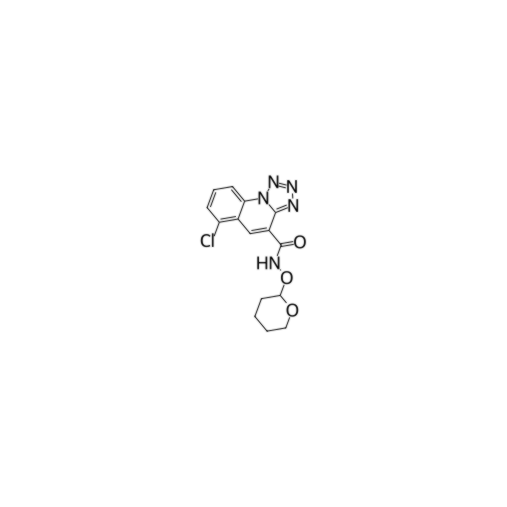 O=C(NOC1CCCCO1)c1cc2c(Cl)cccc2n2nnnc12